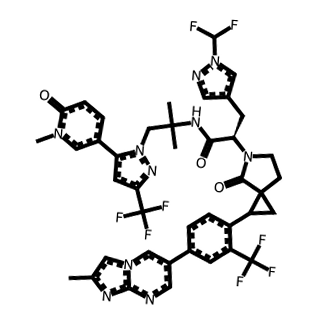 Cc1cn2cc(-c3ccc(C4CC45CCN([C@H](Cc4cnn(C(F)F)c4)C(=O)NC(C)(C)Cn4nc(C(F)(F)F)cc4-c4ccc(=O)n(C)c4)C5=O)c(C(F)(F)F)c3)cnc2n1